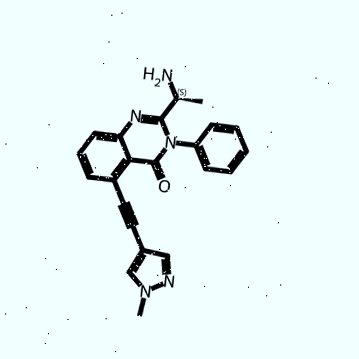 C[C@H](N)c1nc2cccc(C#Cc3cnn(C)c3)c2c(=O)n1-c1ccccc1